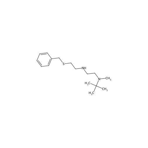 CN(CCNCCSCc1ccccc1)C(C)(C)C